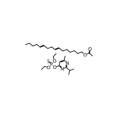 CCCCC=CCCC=CCCCCCCOC(C)=O.CCOP(=S)(OCC)Oc1cc(C)nc(C(C)C)n1